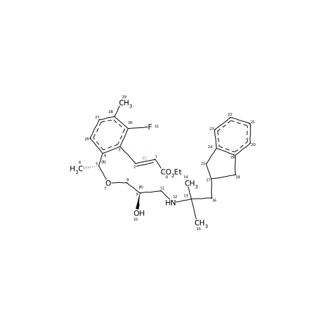 CCOC(=O)/C=C/c1c([C@@H](C)OC[C@H](O)CNC(C)(C)CC2Cc3ccccc3C2)ccc(C)c1F